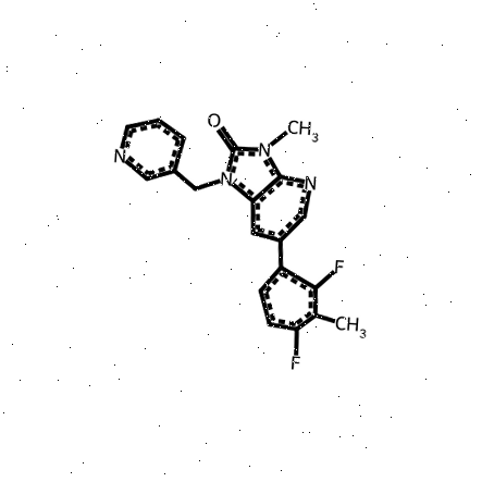 Cc1c(F)ccc(-c2cnc3c(c2)n(Cc2cccnc2)c(=O)n3C)c1F